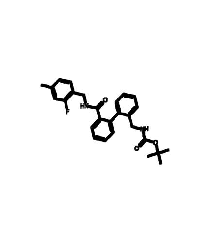 Cc1ccc(CNC(=O)c2ccccc2-c2ccccc2CNC(=O)OC(C)(C)C)c(F)c1